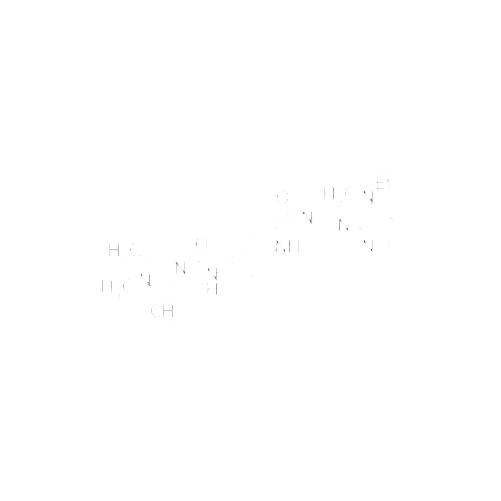 CCN(C)c1cccnc1N1CCN(C(=O)c2cc3cc(NC(=O)N4C[C@@H](C)N(C)[C@@H](C)C4)ccc3[nH]2)CC1